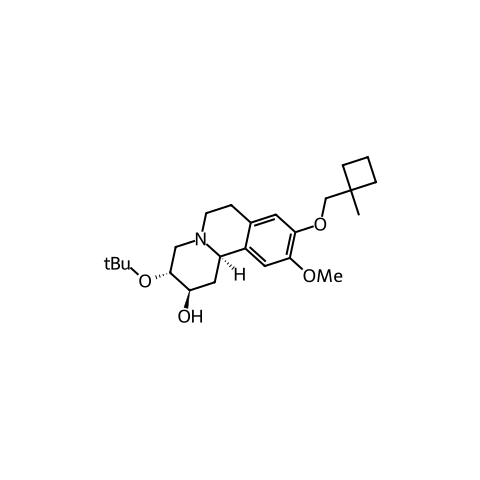 COc1cc2c(cc1OCC1(C)CCC1)CCN1C[C@@H](OC(C)(C)C)[C@H](O)C[C@H]21